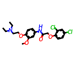 CCN(CC)CCOc1ccc(NC(=O)COc2ccc(Cl)cc2Cl)cc1OC